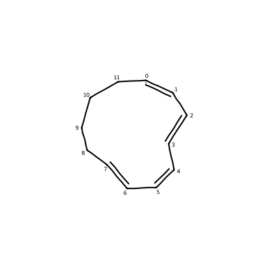 [C]1=C/C=C/C=C\C=C\CCCC\1